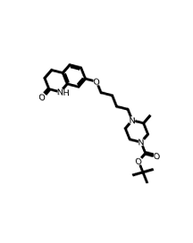 CC1CN(C(=O)OC(C)(C)C)CCN1CCCCOc1ccc2c(c1)NC(=O)CC2